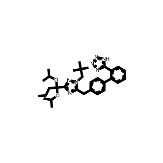 CCCC(OC(C)C)(OC(C)C)c1nc(Cc2ccc(-c3ccccc3-c3nnn[nH]3)cc2)n(CC(C)(C)C)n1